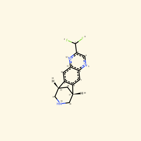 FC(F)c1cnc2cc3c(cc2n1)[C@H]1CNC[C@@H]3C1